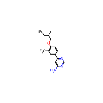 CC(C)C[C@@H](C)COc1ccc(-c2cc(N)ncn2)cc1C(F)(F)F